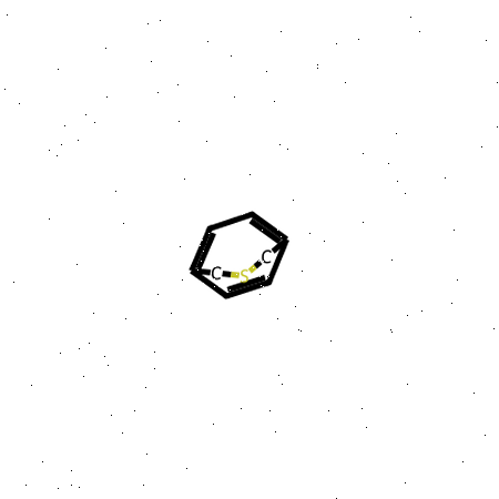 c1cc2ccc1CSC2